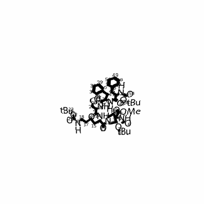 COC(=O)C1(NC(=O)OC(C)(C)C)CCN(C(=O)C(CCCCNC(=O)OC(C)(C)C)NC(=O)C(CC(F)(F)F)NC(=O)C(Cc2ccccc2)NC(=O)C(Cc2ccccc2)NC(=O)OC(C)(C)C)CC1